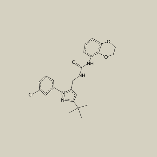 CC(C)(C)c1cc(CNC(=O)Nc2cccc3c2OCCO3)n(-c2cccc(Cl)c2)n1